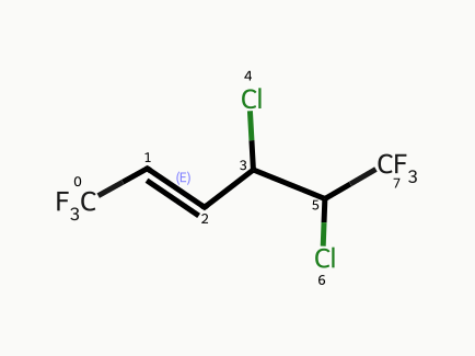 FC(F)(F)/C=C/C(Cl)C(Cl)C(F)(F)F